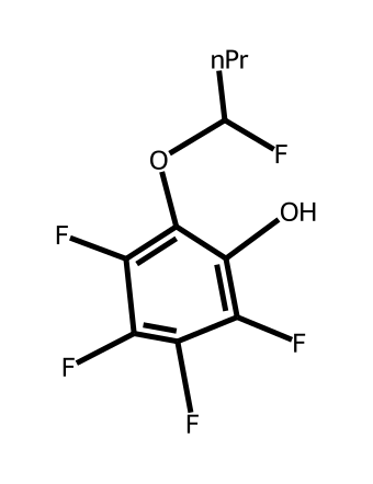 CCCC(F)Oc1c(O)c(F)c(F)c(F)c1F